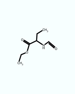 CCOC(=O)C(CC)N[C]=O